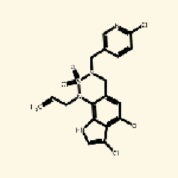 C=CCN1c2c(cc(Cl)c3c(Cl)c[nH]c23)CN(Cc2ccc(Cl)nc2)S1(=O)=O